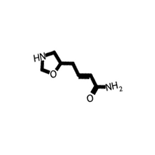 NC(=O)C=CCC1CNCO1